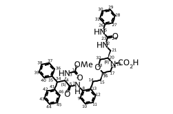 COC(=O)N[C@H](C(=O)Nc1ccccc1CC[C@@H]1CN(C(=O)O)[C@H](CNC(=O)Nc2ccccc2)CO1)C(c1ccccc1)c1ccccc1